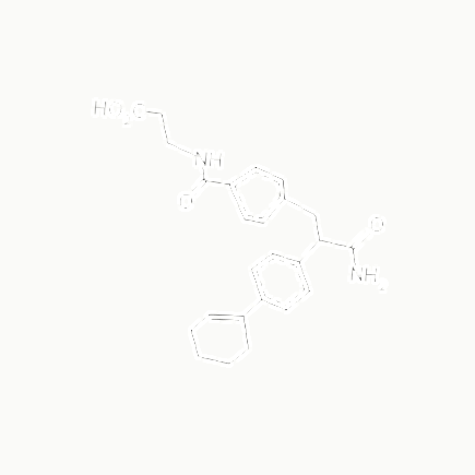 NC(=O)C(Cc1ccc(C(=O)NCCC(=O)O)cc1)c1ccc(C2=CCCCC2)cc1